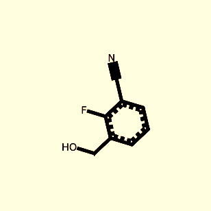 N#Cc1cccc([CH]O)c1F